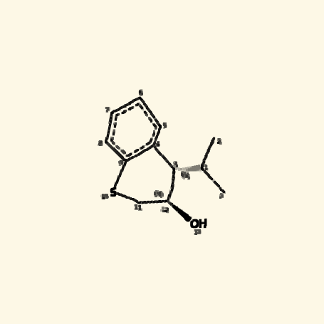 CC(C)[C@H]1c2ccccc2SC[C@@H]1O